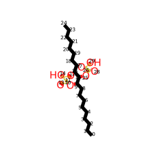 CCCCCCCCCC(OS(=O)(=O)O)C(CCCCCCCCC)OS(=O)(=O)O